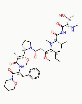 CC[C@H](C)[C@@H]([C@@H](CC(=O)N1CCC[C@H]1[C@H](OC)[C@@H](C)C(=O)N[C@@H](Cc1ccccc1)C(=O)N1CCCCO1)OC)N(C)[C@H](C(=O)NC(=O)[C@@H](NC)[C@@H](C)O)C(C)C